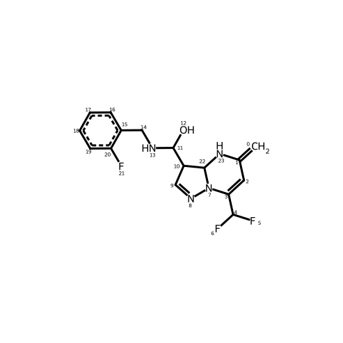 C=C1C=C(C(F)F)N2N=CC(C(O)NCc3ccccc3F)C2N1